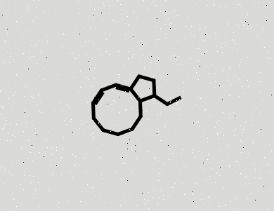 CCC1CCC2=CC=CCCCCCC21